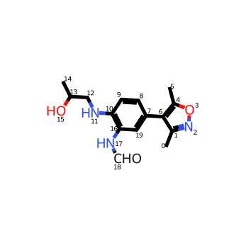 Cc1noc(C)c1-c1ccc(NCC(C)O)c(NC=O)c1